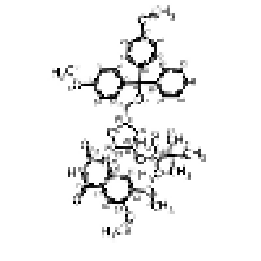 COc1ccc(C(OC[C@H]2[CH][C@@H](O[Si](C)(C)C(C)(C)C)[C@H](n3c(=O)[nH]c(=O)c4cc(OC)c(OC)cc43)O2)(c2ccccc2)c2ccc(OC)cc2)cc1